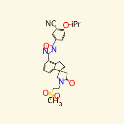 CC(C)Oc1ccc(-c2nc(-c3cccc4c3CC[C@]43CC(=O)N(CCS(C)(=O)=O)C3)no2)cc1C#N